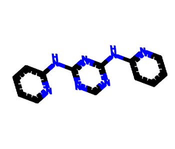 c1ccc(Nc2ncnc(Nc3ccccn3)n2)nc1